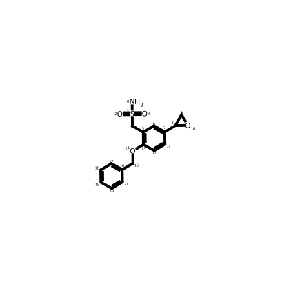 NS(=O)(=O)Cc1cc(C2CO2)ccc1OCc1ccccc1